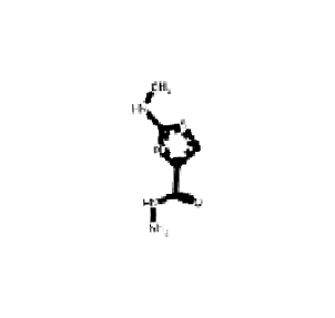 CNc1nc(C(=O)NN)cs1